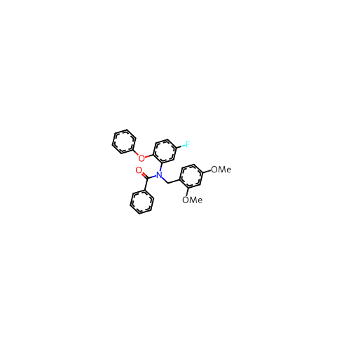 COc1ccc(CN(C(=O)c2ccccc2)c2cc(F)ccc2Oc2ccccc2)c(OC)c1